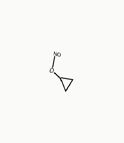 O=NOC1CC1